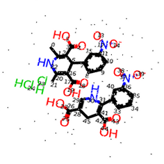 CC1=C(C(=O)O)C(c2cccc([N+](=O)[O-])c2)C(C(=O)O)=C(C)N1.Cl.Cl.O=C(O)C1=CNC(c2cccc([N+](=O)[O-])c2)=C(C(=O)O)C1